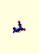 N#CCCC(Nc1c(C#N)cnc2c(Cl)cc(N[C@H](c3cn([C@H]4[C@@H]5CN(C6COC6)C[C@@H]54)nn3)c3csc4c3CCN(C3COC3)C4)cc12)c1ccccc1